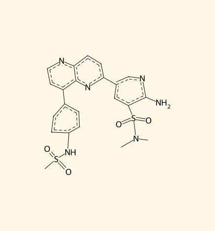 CN(C)S(=O)(=O)c1cc(-c2ccc3nccc(-c4ccc(NS(C)(=O)=O)cc4)c3n2)cnc1N